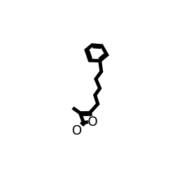 CC1=C(CCCCCc2ccccc2)OC1=O